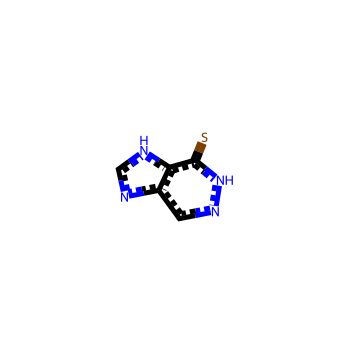 S=c1[nH]ncc2nc[nH]c12